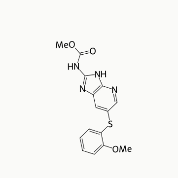 COC(=O)Nc1nc2cc(Sc3ccccc3OC)cnc2[nH]1